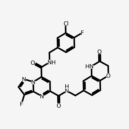 O=C1COc2ccc(CNC(=O)c3cc(C(=O)NCc4ccc(F)c(Cl)c4)n4ncc(F)c4n3)cc2N1